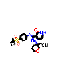 CC(C)C(C)(C)S(=O)(=O)c1ccc(Nc2nn(C3(CC#N)CCCOC3)c3cc[nH]c(=O)c23)cc1